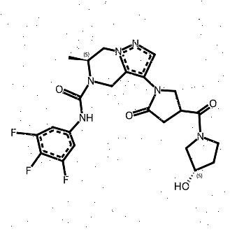 C[C@H]1Cn2ncc(N3CC(C(=O)N4CC[C@H](O)C4)CC3=O)c2CN1C(=O)Nc1cc(F)c(F)c(F)c1